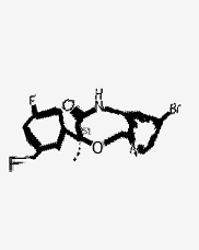 C[C@@]1(C2C=C(F)C=C(F)C2)Oc2ncc(Br)cc2NC1=O